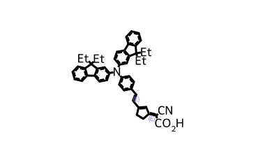 CCC1(CC)c2ccccc2-c2ccc(N(c3ccc(/C=C/C4=CC(=C(\C#N)C(=O)O)/CC4)cc3)c3ccc4c(c3)C(CC)(CC)c3ccccc3-4)cc21